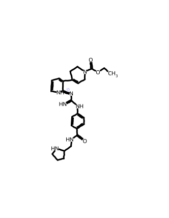 CCOC(=O)N1CC=C(c2ccc[nH]/c2=N\C(=N)Nc2ccc(C(=O)NCC3CCCN3)cc2)CC1